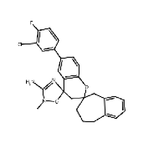 CN1OC2(CC3(CCCc4ccccc4C3)Oc3ccc(-c4ccc(F)c(Cl)c4)cc32)N=C1N